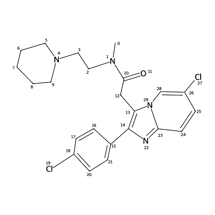 CN(CCN1CCCCC1)C(=O)Cc1c(-c2ccc(Cl)cc2)nc2ccc(Cl)cn12